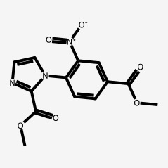 COC(=O)c1ccc(-n2ccnc2C(=O)OC)c([N+](=O)[O-])c1